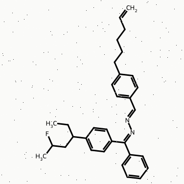 C=CCCCCc1ccc(C=NN=C(c2ccccc2)c2ccc(C(CC)CC(C)F)cc2)cc1